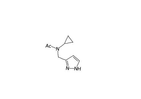 CC(=O)N(Cc1cc[nH]n1)C1CC1